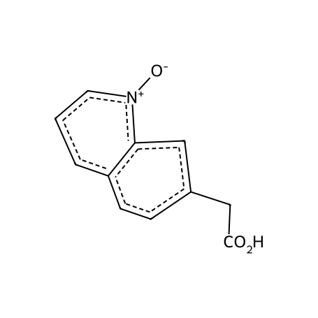 O=C(O)Cc1ccc2ccc[n+]([O-])c2c1